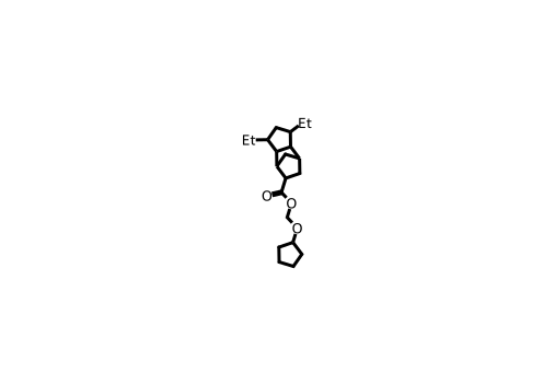 CCC1CC(CC)C2C3CC(CC3C(=O)OCOC3CCCC3)C12